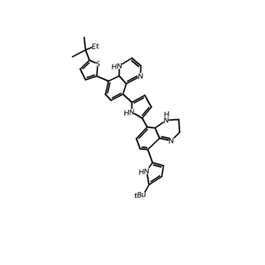 CCC(C)(C)c1ccc(C2=CC=C(c3ccc(C4=CC=C(c5ccc(C(C)(C)C)[nH]5)C5=NCCNC45)[nH]3)C3=NC=CNC23)s1